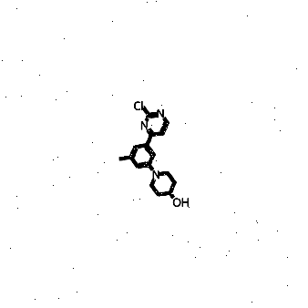 Cc1cc(-c2ccnc(Cl)n2)cc(N2CCC(O)CC2)c1